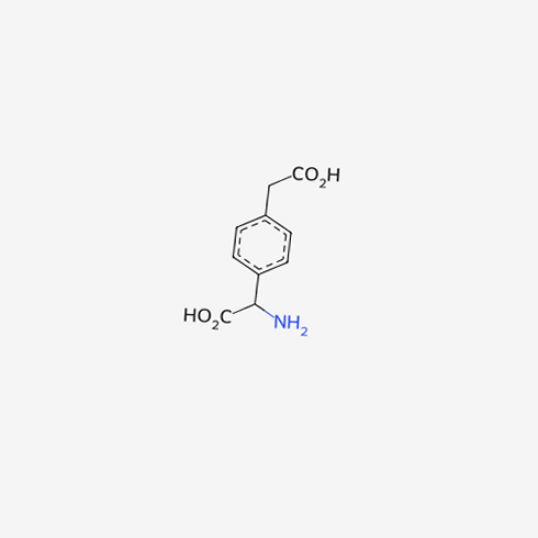 NC(C(=O)O)c1ccc(CC(=O)O)cc1